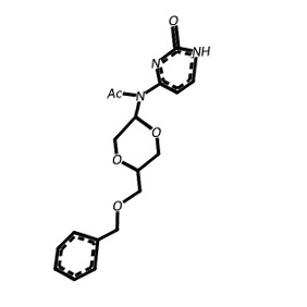 CC(=O)N(c1cc[nH]c(=O)n1)C1COC(COCc2ccccc2)CO1